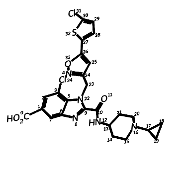 O=C(O)c1cc(Cl)c2c(c1)nc(C(=O)NC1CCN(C3CC3)CC1)n2Cc1cc(-c2ccc(Cl)s2)on1